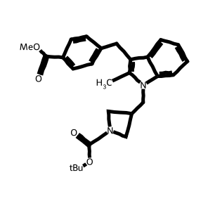 COC(=O)c1ccc(Cc2c(C)n(CC3CN(C(=O)OC(C)(C)C)C3)c3ccccc23)cc1